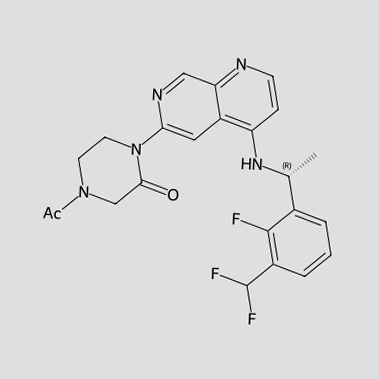 CC(=O)N1CCN(c2cc3c(N[C@H](C)c4cccc(C(F)F)c4F)ccnc3cn2)C(=O)C1